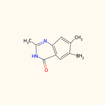 Bc1cc2c(=O)[nH]c(C)nc2cc1C